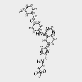 CS(=O)(=O)CCNCc1nc(-c2ccc3ncnc(Nc4ccc(OCc5cccc(F)c5)cc4)c3c2)cs1